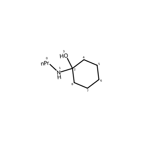 CCCNC1(O)CCCCC1